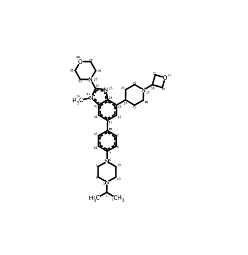 CC(C)N1CCN(c2ccc(-c3cc(C4CCN(C5COC5)CC4)c4nc(N5CCOCC5)n(C)c4c3)cc2)CC1